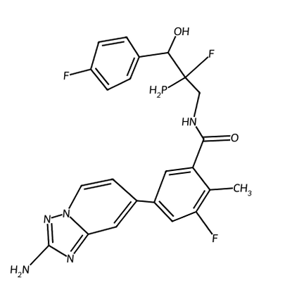 Cc1c(F)cc(-c2ccn3nc(N)nc3c2)cc1C(=O)NCC(F)(P)C(O)c1ccc(F)cc1